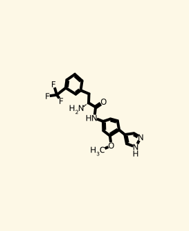 COc1cc(NC(=O)[C@H](N)Cc2cccc(C(F)(F)F)c2)ccc1-c1cn[nH]c1